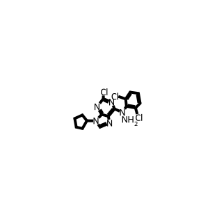 NN(c1c(Cl)cccc1Cl)c1nc(Cl)nc2c1ncn2C1CCCC1